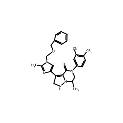 Cc1nc(C2=C3C(=O)N(c4ccc(C(F)(F)F)c(C#N)c4)CC(C)N3NC2)cn1COCc1ccccc1